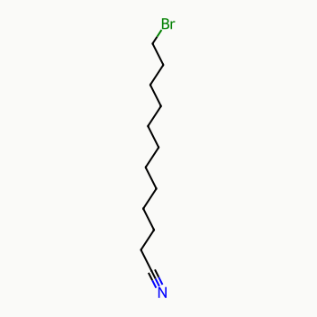 N#CCCCCCCCCCCCBr